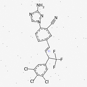 N#Cc1cc(/C=C/C(c2cc(Cl)c(Cl)c(Cl)c2)C(F)(F)F)ccc1-n1cnc(N)n1